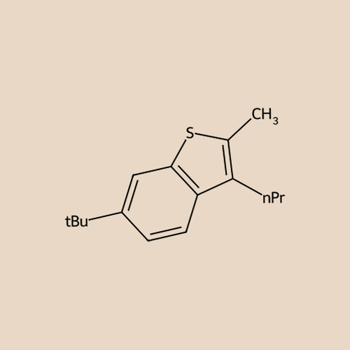 CCCc1c(C)sc2cc(C(C)(C)C)ccc12